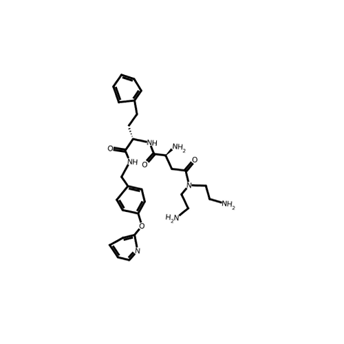 NCCN(CCN)C(=O)C[C@H](N)C(=O)N[C@@H](CCc1ccccc1)C(=O)NCc1ccc(Oc2ccccn2)cc1